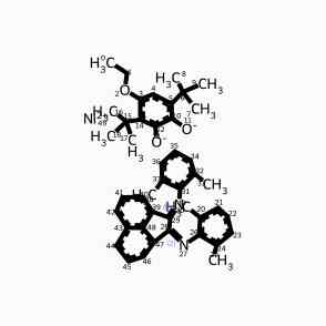 CCOc1cc(C(C)(C)C)c([O-])c([O-])c1C(C)(C)C.Cc1cccc(C)c1/N=C1\C(=N\c2c(C)cccc2C)c2cccc3cccc1c23.[Ni+2]